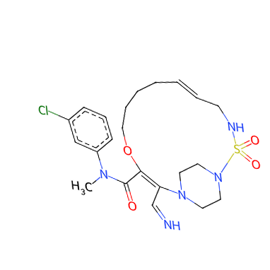 CN(C(=O)/C1=C(\C=N)N2CCN(CC2)S(=O)(=O)NC/C=C/CCCCO1)c1cccc(Cl)c1